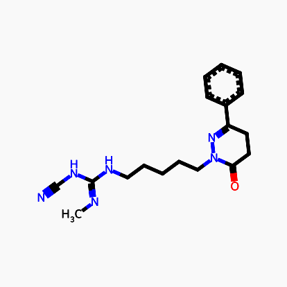 CN=C(NC#N)NCCCCCN1N=C(c2ccccc2)CCC1=O